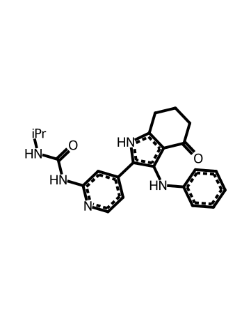 CC(C)NC(=O)Nc1cc(-c2[nH]c3c(c2Nc2ccccc2)C(=O)CCC3)ccn1